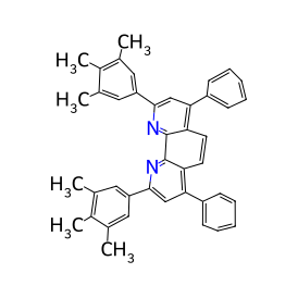 Cc1cc(-c2cc(-c3ccccc3)c3ccc4c(-c5ccccc5)cc(-c5cc(C)c(C)c(C)c5)nc4c3n2)cc(C)c1C